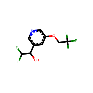 OC(c1cncc(OCC(F)(F)F)c1)C(F)F